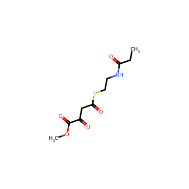 CCC(=O)NCCSC(=O)CC(=O)C(=O)OC